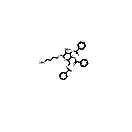 CC(=O)NC1C(OC(=O)c2ccccc2)[C@@H](OC(=O)c2ccccc2)C(COC(=O)c2ccccc2)O[C@H]1OCCCCC=O